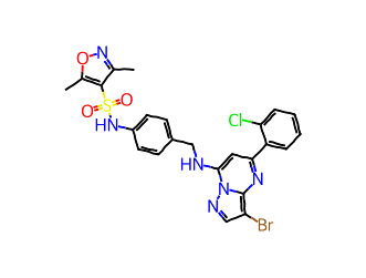 Cc1noc(C)c1S(=O)(=O)Nc1ccc(CNc2cc(-c3ccccc3Cl)nc3c(Br)cnn23)cc1